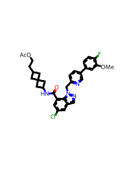 COc1cc(-c2ccc(Cn3ncc4cc(Cl)cc(C(=O)NC5CC6(CC(CCOC(C)=O)C6)C5)c43)nc2)ccc1F